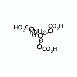 O=C(O)c1ccc(NC(=O)c2cc(OCc3cccc(C(=O)O)c3)cc(OCc3cccc(C(=O)O)c3)c2)nc1